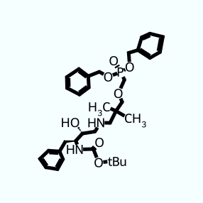 CC(C)(CNC[C@@H](O)[C@H](Cc1ccccc1)NC(=O)OC(C)(C)C)COCP(=O)(OCc1ccccc1)OCc1ccccc1